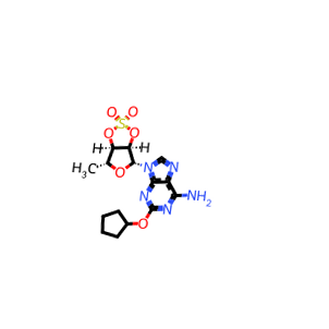 C[C@H]1O[C@@H](n2cnc3c(N)nc(OC4CCCC4)nc32)[C@@H]2OS(=O)(=O)O[C@@H]21